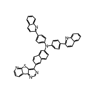 c1ccc2nc(-c3ccc(N(c4ccc(-c5ccc6ccccc6n5)cc4)c4ccc5cc(-c6ncnc7c6sc6ncccc67)ccc5c4)cc3)ccc2c1